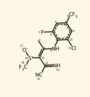 C/C(Nc1c(F)cc(C(F)(F)F)cc1Cl)=C(/C(=N)C#N)[S+]([O-])C(F)(F)F